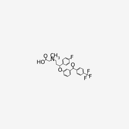 CN(CCC(Oc1cccc(C(=O)c2ccc(C(F)(F)F)cc2)c1)c1ccc(F)cc1)CC(=O)O